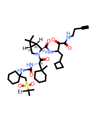 C#CCCNC(=O)C(=O)C(CC1CCC1)NC(=O)[C@@H]1[C@@H]2[C@H](CN1C(=O)[C@@H](NC(=O)NC1(CS(=O)(=O)C(C)(C)CC)CCCCC1)C1(C)CCCCC1)C2(C)C